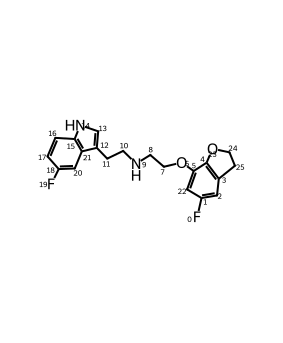 Fc1cc2c(c(OCCNCCc3c[nH]c4ccc(F)cc34)c1)OCC2